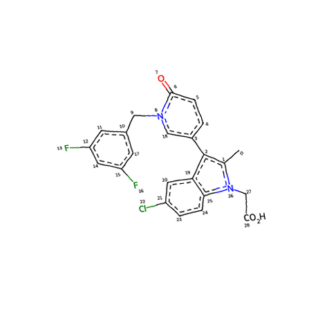 Cc1c(-c2ccc(=O)n(Cc3cc(F)cc(F)c3)c2)c2cc(Cl)ccc2n1CC(=O)O